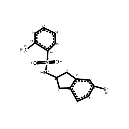 O=S(=O)(NC1Cc2c[c]c(Br)cc2C1)c1ccccc1C(F)(F)F